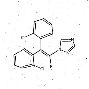 FC(=C(c1ccccc1Cl)c1ccccc1Cl)n1cncn1